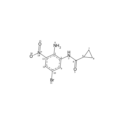 Nc1c(NC(=O)C2CC2)cc(Br)cc1[N+](=O)[O-]